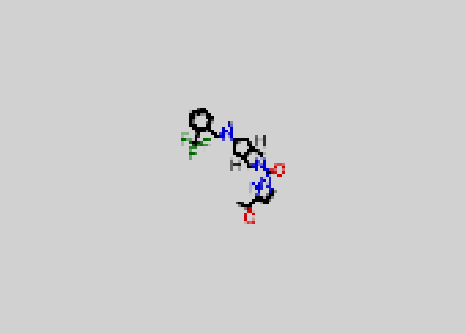 CC(=O)c1ccn(C(=O)N2C[C@H]3C[C@@H](N(C)Cc4ccccc4C(F)(F)F)C[C@H]3C2)n1